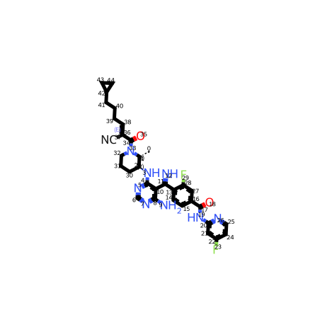 C[C@@H]1[C@H](Nc2ncnc(N)c2C(=N)c2ccc(C(=O)Nc3cc(F)ccn3)cc2F)CCCN1C(=O)/C(C#N)=C/CCCC1CC1